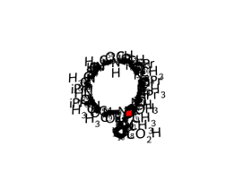 CC[C@@H]1NC(=O)[C@H]([C@H](O)[C@H](C)Cc2nc3cccc(C(=O)O)c3n2C)N(C)C(=O)[C@H](C(C)C)N(C)C(=O)[C@H](CC(C)C)N(C)C(=O)[C@H](CC(C)C)N(C)C(=O)[C@@H](C)NC(=O)[C@H](C)NC(=O)[C@H](CC(C)C)N(C)C(=O)[C@H](C(C)C)NC(=O)[C@H](CC(C)C)N(C)C(=O)CN(C)C1=O